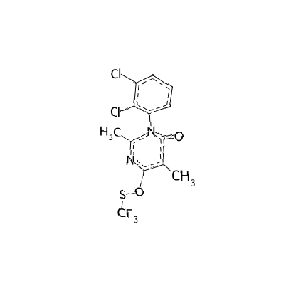 Cc1c(OSC(F)(F)F)nc(C)n(-c2cccc(Cl)c2Cl)c1=O